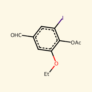 CCOc1cc(C=O)cc(I)c1OC(C)=O